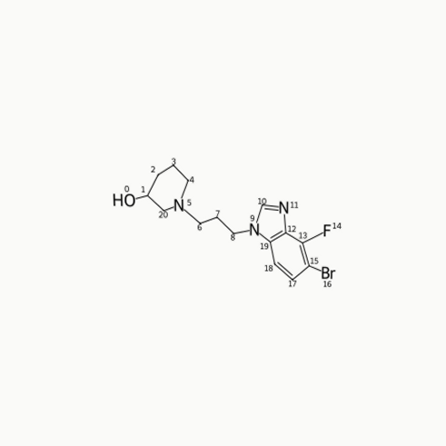 OC1CCCN(CCCn2cnc3c(F)c(Br)ccc32)C1